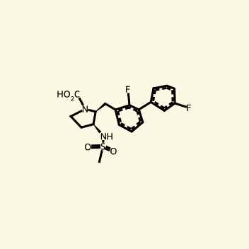 CS(=O)(=O)N[C@H]1CCN(C(=O)O)[C@H]1Cc1cccc(-c2cccc(F)c2)c1F